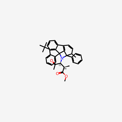 COC(=O)[C@H](C)[C@@H](C(C)=O)N1C2(c3ccccc3CC(C)(C)C)C3=C(C=CC(C)C31c1ccccc1)c1ccccc12